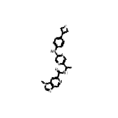 CC(NC(=O)c1cc2c(cn1)ncn2C)c1cnc(Nc2ccc(C3COC3)cc2)cn1